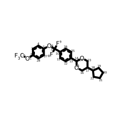 FC(F)(F)Oc1ccc(OC(F)(F)c2ccc(C3OCC(C4CCCC4)CO3)cc2)cc1